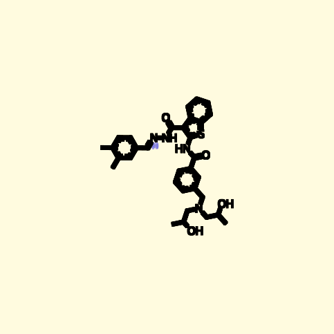 Cc1ccc(/C=N/NC(=O)c2c(NC(=O)c3cccc(CN(CC(C)O)CC(C)O)c3)sc3ccccc23)cc1C